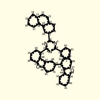 c1ccc(-c2nc(-c3ccc4ccc5ccccc5c4c3)nc(-c3cccc4oc5ccc(-c6cccc7oc8ccccc8c67)cc5c34)n2)cc1